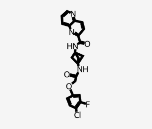 O=C(COc1ccc(Cl)c(F)c1)NC12CC(NC(=O)c3ccc4ncccc4n3)(C1)C2